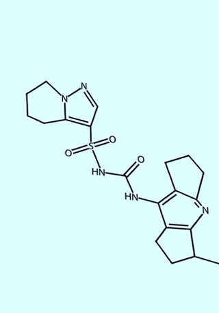 CC1CCc2c1nc1c(c2NC(=O)NS(=O)(=O)c2cnn3c2CCCC3)CCC1